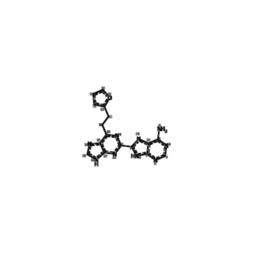 Nc1ncnc2[nH]c(-c3nc(CCc4ccco4)c4nc[nH]c4n3)nc12